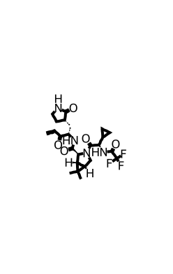 C=CC(=O)[C@H](C[C@@H]1CCNC1=O)NC(=O)[C@@H]1[C@@H]2[C@H](CN1C(=O)[C@@H](NC(=O)C(F)(F)F)C1CC1)C2(C)C